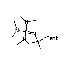 CCCCCC(C)(C)N=P(N(C)C)(N(C)C)N(C)C